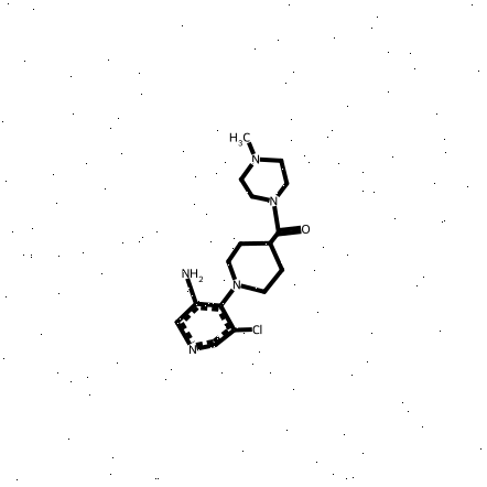 CN1CCN(C(=O)C2CCN(c3c(N)cncc3Cl)CC2)CC1